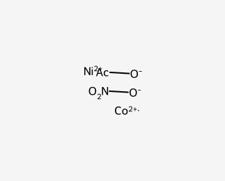 CC(=O)[O-].O=[N+]([O-])[O-].[Co+2].[Ni+2]